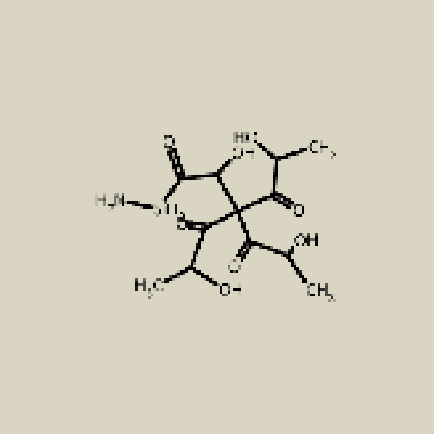 CC(O)C(=O)C(C(=O)C(C)O)(C(=O)C(C)O)C(O)C(=O)[SiH2]N